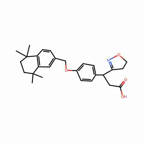 CC1(C)CCC(C)(C)c2cc(COc3ccc(C(CC(=O)O)C4=NOCC4)cc3)ccc21